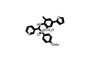 COc1ccc(S(=O)(=O)C(Nc2c(C)cc(-c3ccco3)cc2C(=O)O)c2cccnc2)cc1